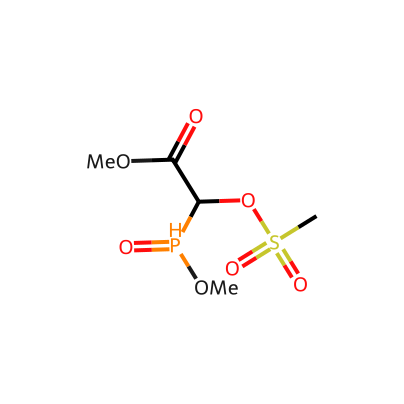 COC(=O)C(OS(C)(=O)=O)[PH](=O)OC